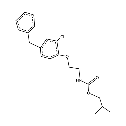 CC(C)COC(=O)NCCOc1ccc(Cc2ccccc2)cc1Cl